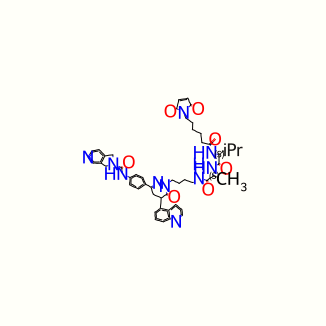 CC(C)[C@H](NC(=O)CCCCCN1C(=O)C=CC1=O)C(=O)N[C@@H](C)C(=O)NCCCCN1N=C(c2ccc(NC(=O)N3Cc4ccncc4C3)cc2)CC(c2cccc3ncccc23)C1=O